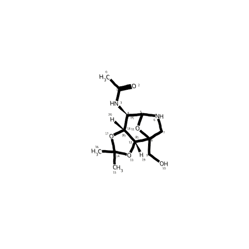 CC(=O)N[C@H]1C2NCC(CO)(O2)[C@@H]2OC(C)(C)O[C@@H]21